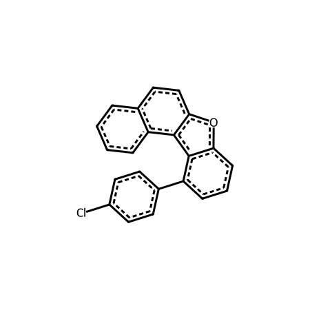 Clc1ccc(-c2cccc3oc4ccc5ccccc5c4c23)cc1